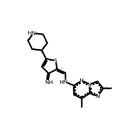 Cc1cn2nc(N/C=C3/SC(C4CCNCC4)=CC3=N)cc(C)c2n1